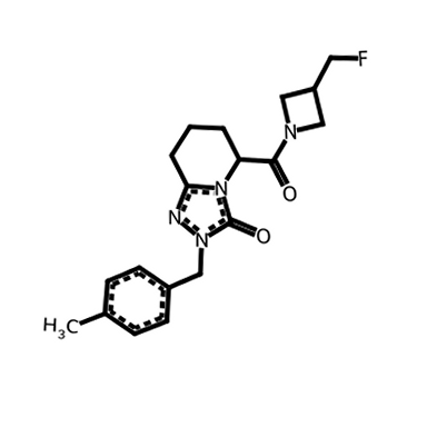 Cc1ccc(Cn2nc3n(c2=O)C(C(=O)N2CC(CF)C2)CCC3)cc1